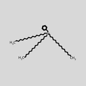 CCCCCCCCCCCCCCCC[N+](CCCCCCCCCCCCCCCC)(CCCCCCCCCCCCCCCC)Cc1ccccc1